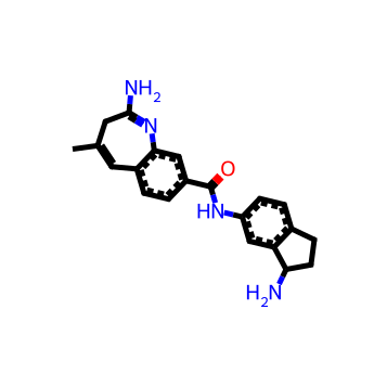 CC1=Cc2ccc(C(=O)Nc3ccc4c(c3)C(N)CC4)cc2N=C(N)C1